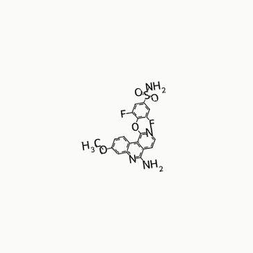 COc1ccc2c(c1)nc(N)c1ccnc(Oc3c(F)cc(S(N)(=O)=O)cc3F)c12